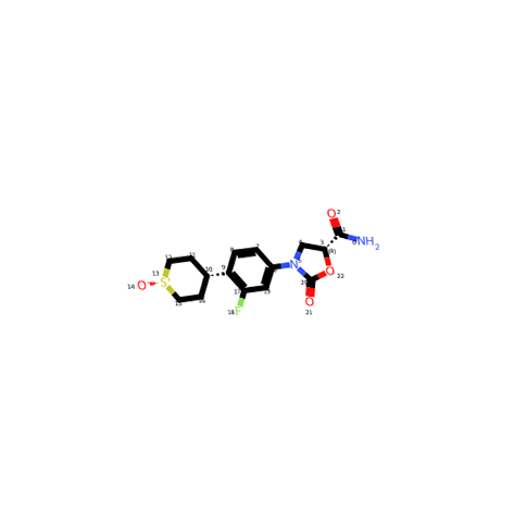 NC(=O)[C@H]1CN(c2ccc([C@H]3CC[S@@+]([O-])CC3)c(F)c2)C(=O)O1